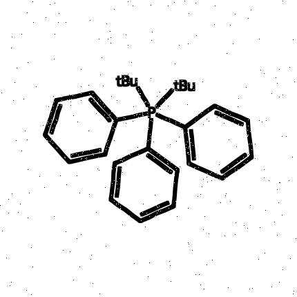 CC(C)(C)P(c1ccccc1)(c1ccccc1)(c1ccccc1)C(C)(C)C